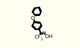 ON=C(c1ccc(Oc2ccccc2)cc1)C(F)(F)F